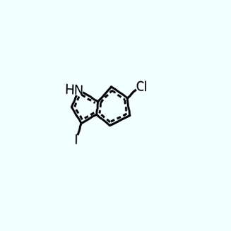 Clc1ccc2c(I)c[nH]c2c1